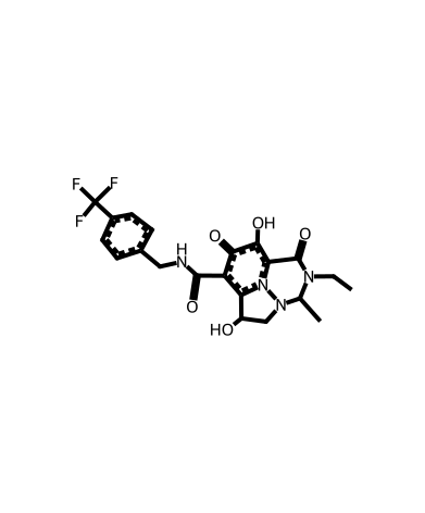 CCN1C(=O)c2c(O)c(=O)c(C(=O)NCc3ccc(C(F)(F)F)cc3)c3n2N(CC3O)C1C